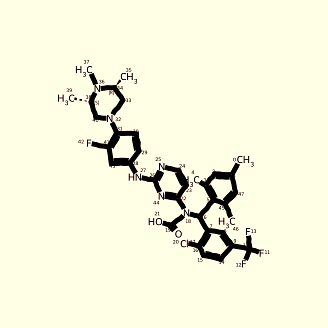 Cc1cc(C)c(C(c2cc(C(F)(F)F)ccc2Cl)N(C(=O)O)c2ccnc(Nc3ccc(N4C[C@@H](C)N(C)[C@@H](C)C4)c(F)c3)n2)c(C)c1